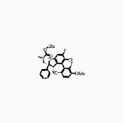 COc1ccc(C#N)c(-c2c(Cl)c(F)cc3c2[C@H](C)[C@@](CN(C)C(=O)OC(C)(C)C)(c2ccccc2)O3)c1F